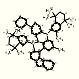 Cc1cc2c3c(c1)N(c1cc4c(cc1C)C(C)(C)CCC4(C)C)c1ccc(-c4ccccc4)cc1B3N(c1ccc3c(c1)C(C)(C)CCC3(C)C)c1ccc3sc4ccccc4c3c1-2